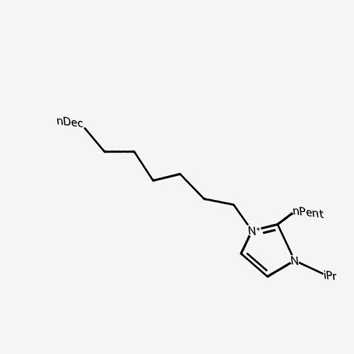 CCCCCCCCCCCCCCCC[n+]1ccn(C(C)C)c1CCCCC